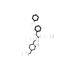 NCC1CCC(C(=O)N[C@@H](Cc2cccc(Oc3ccccc3)c2)C(=O)O)CC1